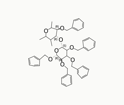 CC1OC(C)[C@@H](OCc2ccccc2)[C@H](O[C@H]2O[C@@H](OCc3ccccc3)[C@H](OCc3ccccc3)C(OCc3ccccc3)C2OCc2ccccc2)C1C